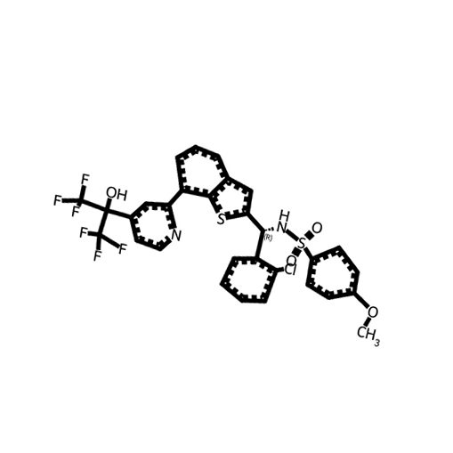 COc1ccc(S(=O)(=O)N[C@@H](c2cc3cccc(-c4cc(C(O)(C(F)(F)F)C(F)(F)F)ccn4)c3s2)c2ccccc2Cl)cc1